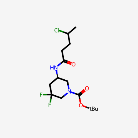 CC(Cl)CCC(=O)N[C@H]1CN(C(=O)OC(C)(C)C)CC(F)(F)C1